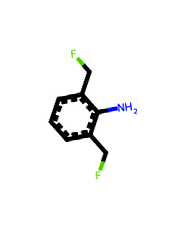 Nc1c(CF)cccc1CF